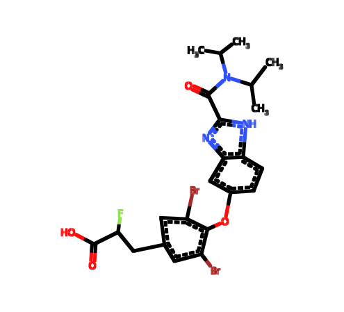 CC(C)N(C(=O)c1nc2cc(Oc3c(Br)cc(CC(F)C(=O)O)cc3Br)ccc2[nH]1)C(C)C